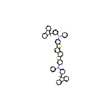 CC1(c2cccc(N(c3ccccc3)c3ccc4c(c3)sc3c4ccc4c3ccc3c5ccc(N(c6ccccc6)c6cccc(C7(C)c8ccccc8-c8ccccc87)c6)cc5sc34)c2)c2ccccc2-c2ccccc21